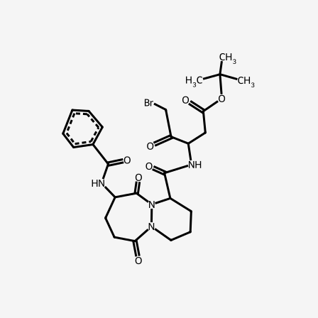 CC(C)(C)OC(=O)CC(NC(=O)C1CCCN2C(=O)CCC(NC(=O)c3ccccc3)C(=O)N12)C(=O)CBr